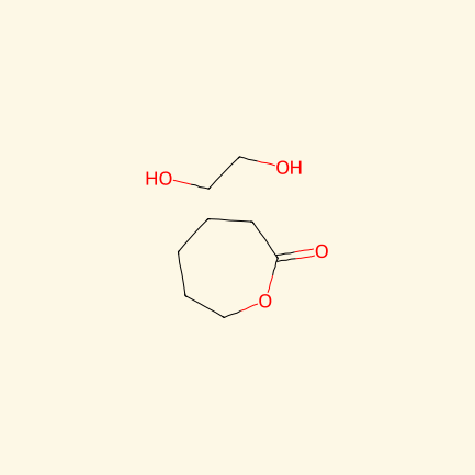 O=C1CCCCCO1.OCCO